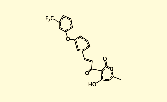 Cc1cc(O)c(C(=O)C=Cc2cccc(Oc3cccc(C(F)(F)F)c3)c2)c(=O)o1